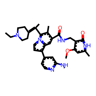 CCN1CCC(=C(C)c2c(C)c(C(=O)NCc3c(OC)cc(C)[nH]c3=O)cc3c(-c4ccnc(NC)c4)ccn23)CC1